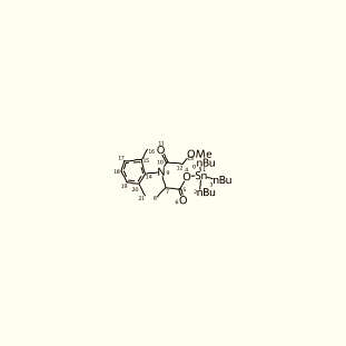 CCC[CH2][Sn]([CH2]CCC)([CH2]CCC)[O]C(=O)C(C)N(C(=O)COC)c1c(C)cccc1C